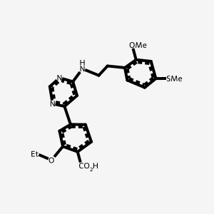 CCOc1cc(-c2cc(NCCc3ccc(SC)cc3OC)ncn2)ccc1C(=O)O